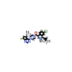 C[C@@H]1C[C@@H](F)c2ncnc(N3CCN(C(=O)[C@H](CN(CC4CC4)C(=O)O)c4ccc(Cl)cc4)CC3)c21